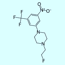 O=[N+]([O-])c1cc(N2CCN(CCF)CC2)cc(C(F)(F)F)c1